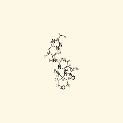 CCc1nc2cc(C)c(Nc3ncc4c(n3)n(C3(C#N)CCOCC3)c(=O)n4C)cn2n1